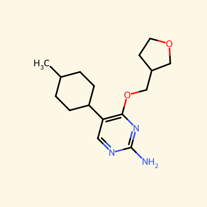 CC1CCC(c2cnc(N)nc2OCC2CCOC2)CC1